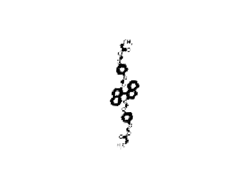 C=CC(=O)OCOc1ccc(OCOc2ccc3ccccc3c2-c2c(OCOc3ccc(OCOC(=O)C=C)cc3)ccc3ccccc23)cc1